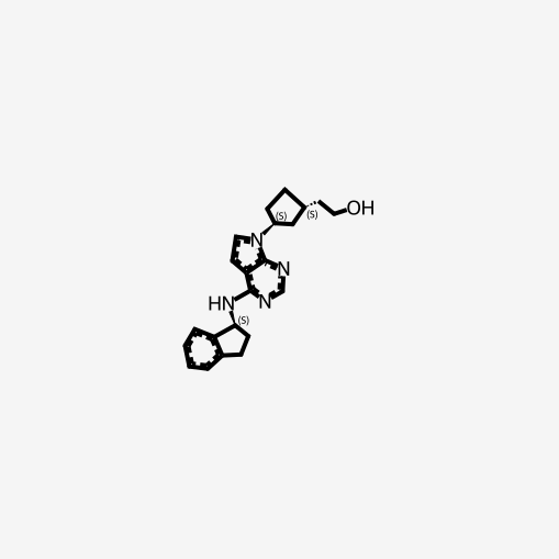 OCC[C@H]1CC[C@H](n2ccc3c(N[C@H]4CCc5ccccc54)ncnc32)C1